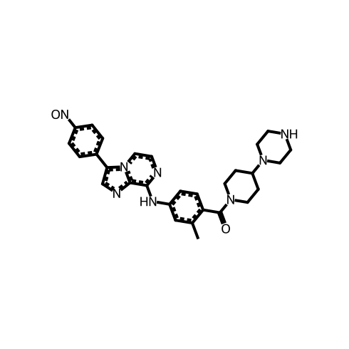 Cc1cc(Nc2nccn3c(-c4ccc(N=O)cc4)cnc23)ccc1C(=O)N1CCC(N2CCNCC2)CC1